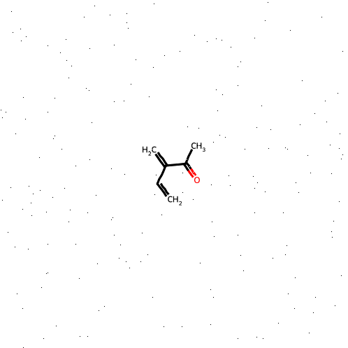 C=CC(=C)C(C)=O